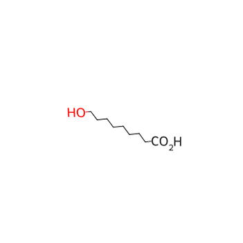 O=C(O)CCCCCCCCO